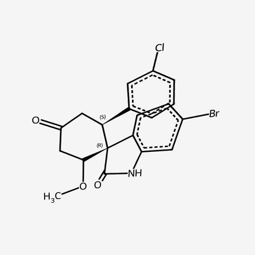 COC1CC(=O)C[C@@H](c2cccc(Cl)c2)[C@]12C(=O)Nc1cc(Br)ccc12